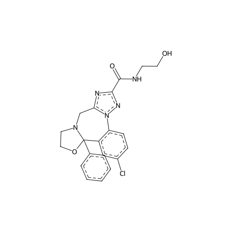 O=C(NCCO)c1nc2n(n1)-c1ccc(Cl)cc1C1(c3ccccc3)OCCN1C2